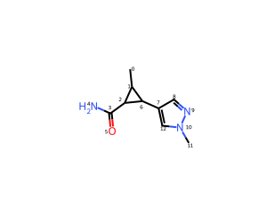 CC1C(C(N)=O)C1c1cnn(C)c1